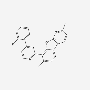 Cc1ccc2c(n1)oc1c(-c3cc(-c4ccccc4F)ccn3)c(C)ccc12